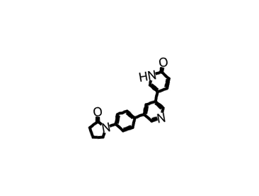 O=C1CCCN1c1ccc(-c2cncc(-c3ccc(=O)[nH]c3)c2)cc1